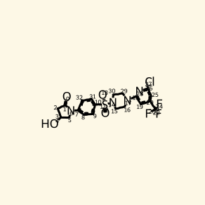 O=C1CC(O)CN1c1ccc(S(=O)(=O)N2CCN(c3cc(C(F)(F)F)cc(Cl)n3)CC2)cc1